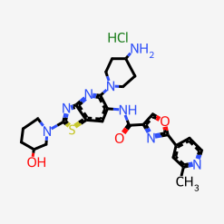 Cc1cc(-c2nc(C(=O)Nc3cc4sc(N5CCCC(O)C5)nc4nc3N3CCC(N)CC3)co2)ccn1.Cl